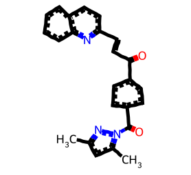 Cc1cc(C)n(C(=O)c2ccc(C(=O)C=Cc3ccc4ccccc4n3)cc2)n1